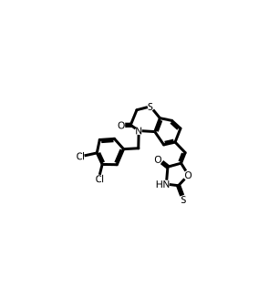 O=C1NC(=S)OC1=Cc1ccc2c(c1)N(Cc1ccc(Cl)c(Cl)c1)C(=O)CS2